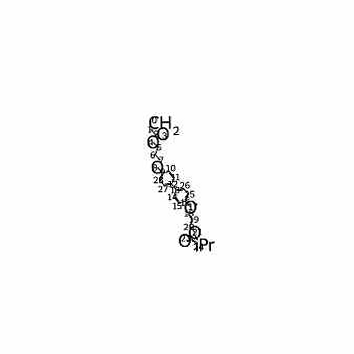 C=CC(=O)OCCCOc1ccc(-c2ccc(OCCCOC(=O)C(C)C)cc2)cc1